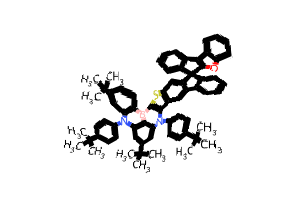 CC(C)(C)c1ccc(N2c3cc(C(C)(C)C)ccc3B3c4sc5cc6c(cc5c4N(c4ccc(C(C)(C)C)cc4)c4cc(C(C)(C)C)cc2c43)-c2ccccc2C62c3ccccc3-c3c2oc2ccccc32)cc1